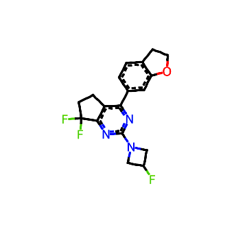 FC1CN(c2nc(-c3ccc4c(c3)OCC4)c3c(n2)C(F)(F)CC3)C1